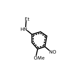 CCNc1ccc(N=O)c(OC)c1